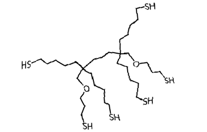 SCCCCCC(CCCCCS)(CCCC(CCCCCS)(CCCCCS)COCCCS)COCCCS